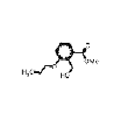 C=CCOc1cccc(C(=O)OC)c1CO